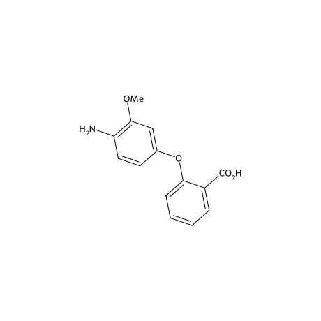 COc1cc(Oc2ccccc2C(=O)O)ccc1N